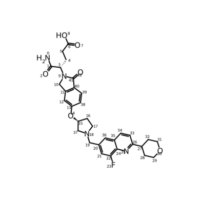 NC(=O)[C@H](CCC(=O)O)N1Cc2cc(O[C@H]3CCN(Cc4cc(F)c5nc(C6CCOCC6)ccc5c4)C3)ccc2C1=O